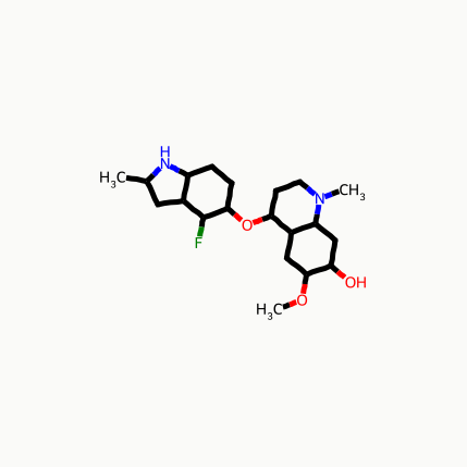 COC1CC2C(OC3CCC4NC(C)CC4C3F)CCN(C)C2CC1O